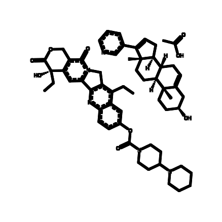 CC(=O)O.CCc1c2c(nc3ccc(OC(=O)N4CCC(N5CCCCC5)CC4)cc13)-c1cc3c(c(=O)n1C2)COC(=O)[C@]3(O)CC.C[C@]12CC[C@H](O)CC1=CC[C@@H]1[C@@H]2CC[C@]2(C)C(c3cccnc3)=CC[C@@H]12